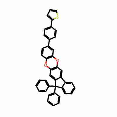 c1ccc(C2(c3ccccc3)c3ccccc3-c3cc4c(cc32)Oc2ccc(-c3ccc(-c5cccs5)cc3)cc2O4)cc1